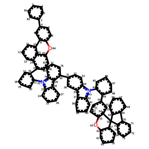 c1ccc(-c2ccc3c(c2)-c2cccc4c(-c5ccccc5-n5c6ccccc6c6c(-c7ccc8c(c7)c7ccccc7n8-c7ccccc7-c7ccc8c(c7)C7(c9ccccc9O8)c8ccccc8-c8ccccc87)cccc65)ccc(c24)O3)cc1